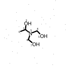 CC(O)N(CO)CO